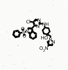 O=[N+]([O-])c1cnn(CC2(O)CCC(Nc3ncc(Cl)c(-c4cn(S(=O)(=O)c5ccccc5)c5ccccc45)n3)CC2)c1